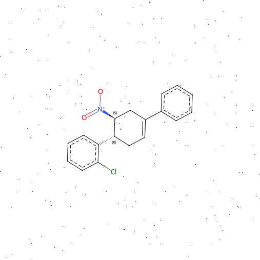 O=[N+]([O-])[C@H]1CC(c2ccccc2)=CC[C@@H]1c1ccccc1Cl